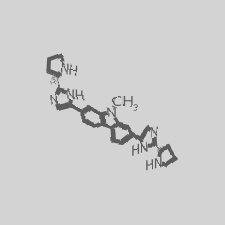 Cn1c2cc(-c3cnc([C@@H]4CCCN4)[nH]3)ccc2c2ccc(-c3cnc([C@@H]4CCCN4)[nH]3)cc21